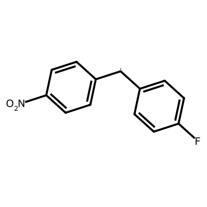 O=[N+]([O-])c1ccc([CH]c2ccc(F)cc2)cc1